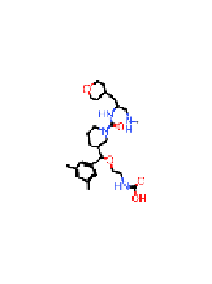 CNCC(CC1CCOCC1)NC(=O)N1CCCC(C(OCCNC(=O)O)c2cc(C)cc(C)c2)C1